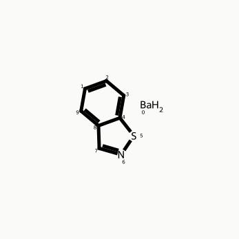 [BaH2].c1ccc2sncc2c1